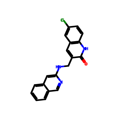 O=c1[nH]c2ccc(Cl)cc2cc1CNc1cc2ccccc2cn1